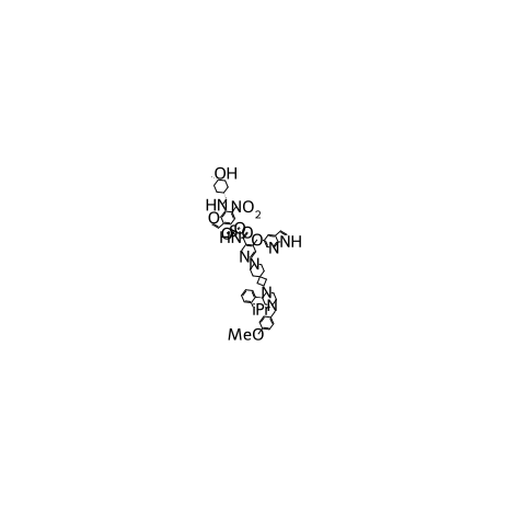 COc1ccc(CN2CCN(C3CC4(CCN(c5cc(Oc6cnc7[nH]ccc7c6)c(C(=O)NS(=O)(=O)c6cc([N+](=O)[O-])c(NC[C@H]7CC[C@](C)(O)CC7)c7occc67)cn5)CC4)C3)[C@H](c3ccccc3C(C)C)C2)cc1